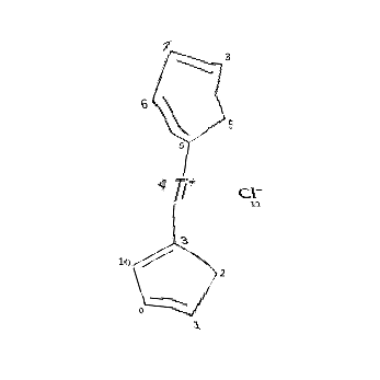 C1=CC[C]([Ti+][C]2=CC=CC2)=C1.[Cl-]